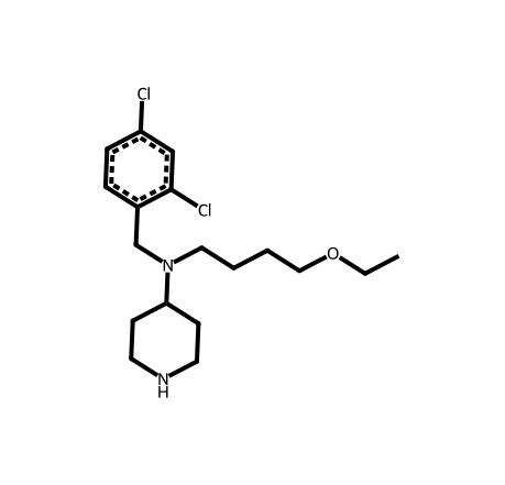 CCOCCCCN(Cc1ccc(Cl)cc1Cl)C1CCNCC1